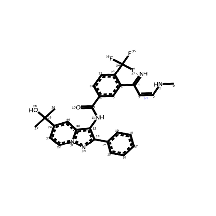 CN/C=C\C(=N)c1cc(C(=O)Nc2c(-c3ccccc3)nn3ccc(C(C)(C)O)cc23)ccc1C(F)(F)F